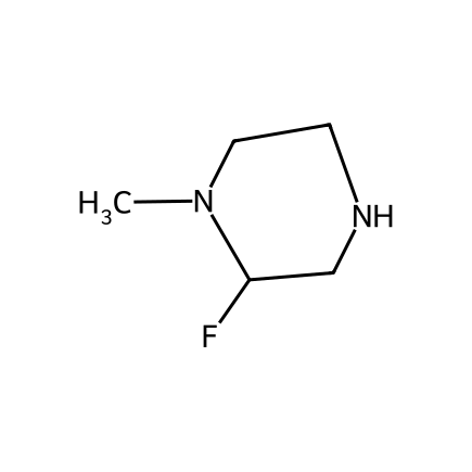 CN1CCNCC1F